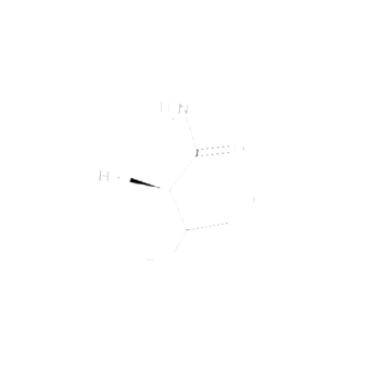 CCC(C)[C@@H](C)C(N)=O